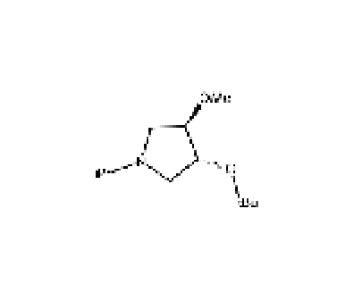 CO[C@@H]1CN(C(C)C)C[C@H]1OC(C)(C)C